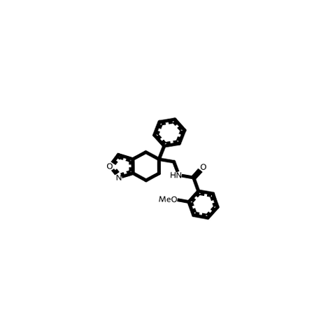 COc1ccccc1C(=O)NCC1(c2ccccc2)CCc2nocc2C1